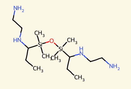 CCC(NCCN)[Si](C)(C)O[Si](C)(C)C(CC)NCCN